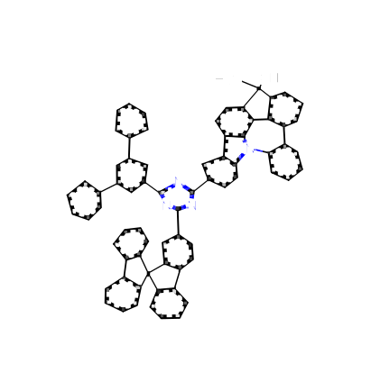 CC1(C)c2cccc3c2-c2c1ccc1c4cc(-c5nc(-c6cc(-c7ccccc7)cc(-c7ccccc7)c6)nc(-c6ccc7c(c6)C6(c8ccccc8-c8ccccc86)c6ccccc6-7)n5)ccc4n(c21)-c1ccccc1-3